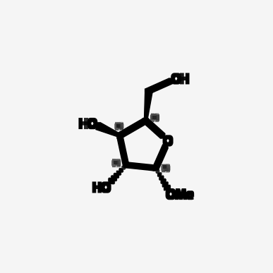 CO[C@H]1O[C@H](CO)[C@H](O)[C@H]1O